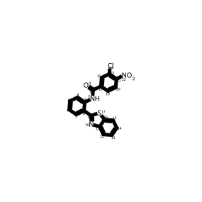 O=C(Nc1ccccc1-c1nc2ccccc2s1)c1ccc([N+](=O)[O-])c(Cl)c1